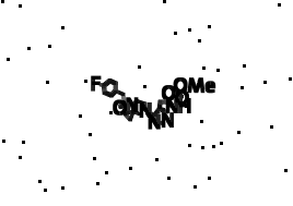 COC(=O)Oc1cc2c(N3CCN(C(=O)Cc4ccc(F)cc4)C4(CC4)C3)ncnc2[nH]1